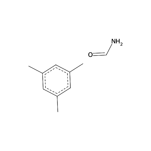 Cc1cc(C)cc(C)c1.NC=O